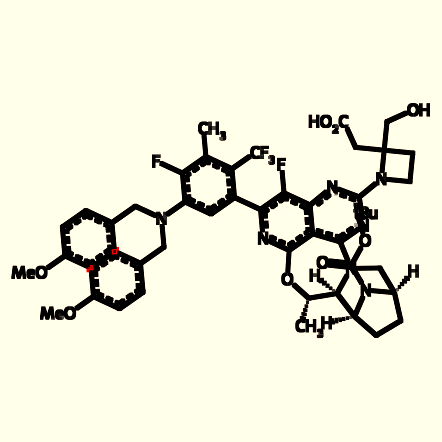 COc1ccc(CN(Cc2ccc(OC)cc2)c2cc(-c3nc4c5c(nc(N6CCC6(CO)CC(=O)O)nc5c3F)N3C[C@H]5CC[C@@H]([C@H]3[C@H](C)O4)N5C(=O)OC(C)(C)C)c(C(F)(F)F)c(C)c2F)cc1